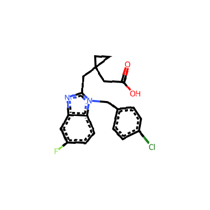 O=C(O)CC1(Cc2nc3cc(F)ccc3n2Cc2ccc(Cl)cc2)CC1